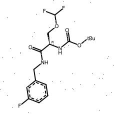 CC(C)(C)OC(=O)N[C@H](COC(F)F)C(=O)NCc1cccc(F)c1